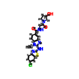 CCCCn1c(Nc2nc3ccc(Cl)cc3s2)nc2cc(C(=O)NCC(=O)N3CC[C@@H](O)C3)ccc21